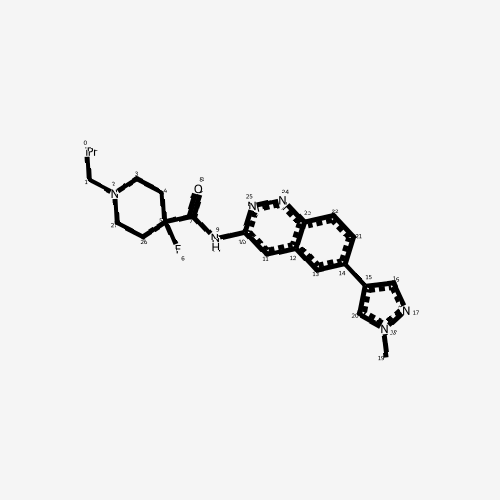 CC(C)CN1CCC(F)(C(=O)Nc2cc3cc(-c4cnn(C)c4)ccc3nn2)CC1